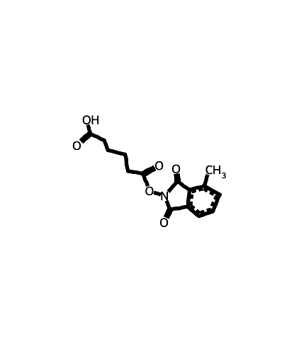 Cc1cccc2c1C(=O)N(OC(=O)CCCCC(=O)O)C2=O